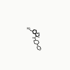 OCc1ccc2ncnc(NC3CCC(N4CCOCC4)CC3)c2c1